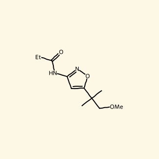 CCC(=O)Nc1cc(C(C)(C)COC)on1